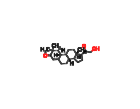 CC1(C)C[C@H]2C(=CC1=O)CC[C@@H]1[C@@H]2CC[C@]2(C)[C@@H](C(=O)CO)CC[C@@H]12